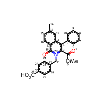 COC(=O)c1c(-c2ccccc2)c2cc(C)ccc2c(=O)n1Cc1ccc(C(=O)O)cc1